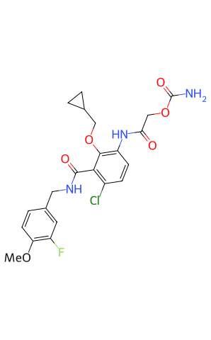 COc1ccc(CNC(=O)c2c(Cl)ccc(NC(=O)COC(N)=O)c2OCC2CC2)cc1F